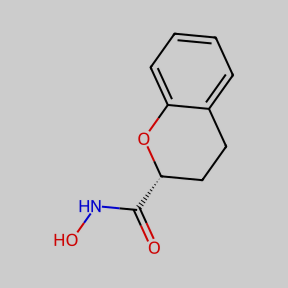 O=C(NO)[C@H]1CCc2ccccc2O1